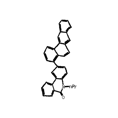 CCCn1c(=O)c2ccccc2c2cc(-c3cccc4c3ccc3cc5ccccc5cc34)ccc21